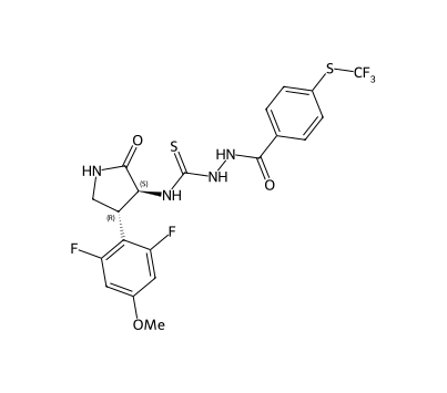 COc1cc(F)c([C@@H]2CNC(=O)[C@H]2NC(=S)NNC(=O)c2ccc(SC(F)(F)F)cc2)c(F)c1